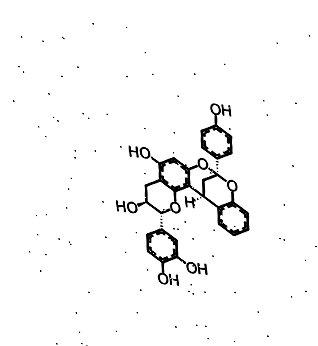 Oc1ccc([C@@]23C[C@@H](c4ccccc4O2)c2c(cc(O)c4c2O[C@H](c2ccc(O)c(O)c2)[C@@H](O)C4)O3)cc1